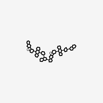 c1cc(-c2cc(-c3cccc4cc5c(cc34)oc3ccc(-c4c6ccccc6c(-c6ccc(-c7ccc8ccccc8c7)cc6)c6ccccc46)cc35)cc3ccccc23)cc(-c2c3ccccc3c(-c3ccc4oc5cc6ccccc6cc5c4c3)c3ccccc23)c1